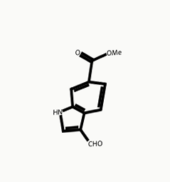 COC(=O)c1ccc2c(C=O)c[nH]c2c1